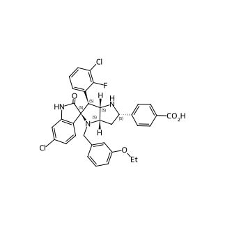 CCOc1cccc(CN2[C@H]3C[C@@H](c4ccc(C(=O)O)cc4)N[C@H]3[C@H](c3cccc(Cl)c3F)[C@]23C(=O)Nc2cc(Cl)ccc23)c1